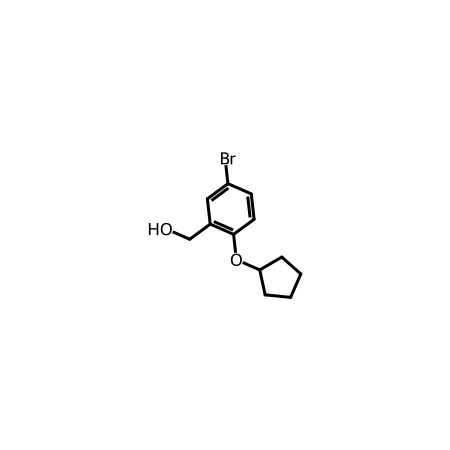 OCc1cc(Br)ccc1OC1CCCC1